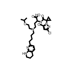 CC(C)OCCN(CCCCc1ccc2c(n1)NCCC2)CCC(NC(=O)C1(n2nc(Cl)cc2Cl)CC1)C(=O)O